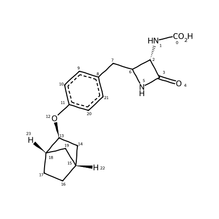 O=C(O)N[C@@H]1C(=O)NC1Cc1ccc(O[C@H]2C[C@@H]3CC[C@H]2C3)cc1